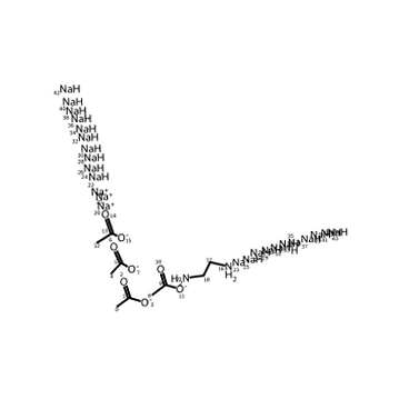 CC(=O)[O-].CC(=O)[O-].CC(=O)[O-].CC(=O)[O-].NCCN.[Na+].[Na+].[Na+].[Na+].[NaH].[NaH].[NaH].[NaH].[NaH].[NaH].[NaH].[NaH].[NaH].[NaH].[NaH].[NaH].[NaH].[NaH].[NaH].[NaH].[NaH].[NaH].[NaH].[NaH]